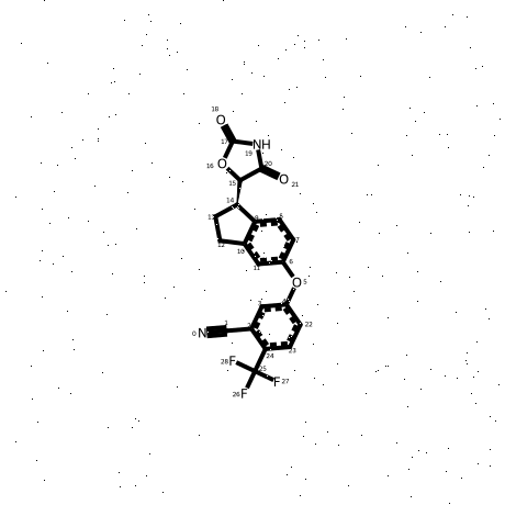 N#Cc1cc(Oc2ccc3c(c2)CC[C@H]3C2OC(=O)NC2=O)ccc1C(F)(F)F